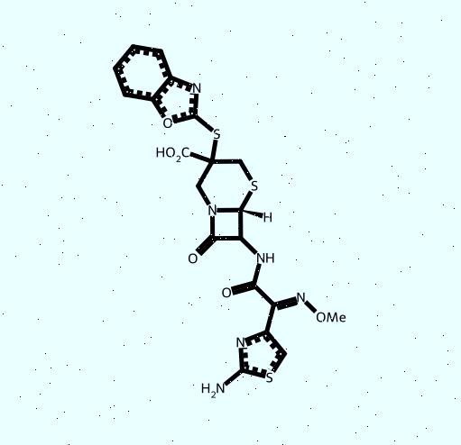 CON=C(C(=O)NC1C(=O)N2CC(Sc3nc4ccccc4o3)(C(=O)O)CS[C@H]12)c1csc(N)n1